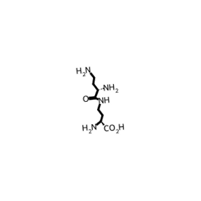 NCC[C@H](N)C(=O)NCC[C@H](N)C(=O)O